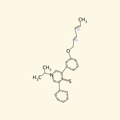 C/C=C/C=C/COc1cccc(-c2cn(C(C)C)cc(-c3ccccc3)c2=S)c1